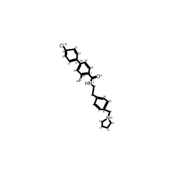 O=C(NCCc1ccc(CN2CCCC2)cc1)c1ccc(-c2ccc(Cl)cc2)cc1F